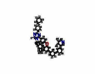 Cc1nc(-c2ccc(-c3ccccc3)cc2)nc(-c2ccc3c(c2)C2(c4ccc(-c5cccc(-c6cccc(-c7cncc(C)c7C)c6)c5)cc4O3)c3ccccc3-c3ccccc32)n1